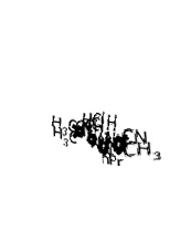 CCCc1cc(N2CC[C@H](N(C)c3cc(C)c(C)o3)C2)nc(Nc2ccc(C)c(C#N)c2)n1.Cl.Cl